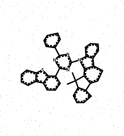 CC1(C)c2ccccc2-c2ccc3c4ccccc4n(-c4nc(-c5ccccc5)nc(-c5cccc6c5sc5ccccc56)n4)c3c21